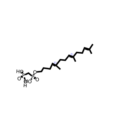 CC(C)=CCC/C(C)=C/CC/C(C)=C/CCCOP(=O)(O)CP(=O)(O)O